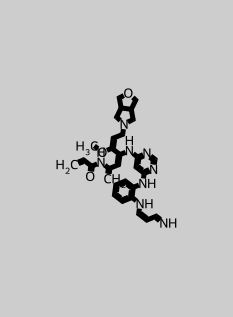 C=CC(=O)NC(=C)/C=C(Nc1cc(Nc2ccccc2N/C=C\C=N)ncn1)\C(=C/CN1CC2COCC2C1)OC